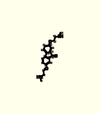 CNCCOc1ccc2c(c1)C(=O)c1cc(OCCNC)ccc1-2